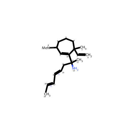 C=CC1(C)CCCC(NC)C=C1C(C)(N)C/C=C/C=C/C